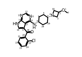 COC1CN([C@H]2CC[C@@H](Nc3ncnc4[nH]cc(C(=O)c5ccccc5Cl)c34)CC2)C1